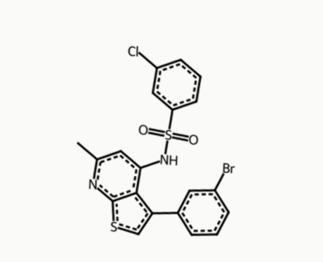 Cc1cc(NS(=O)(=O)c2cccc(Cl)c2)c2c(-c3cccc(Br)c3)csc2n1